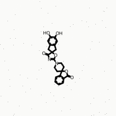 O=C1OC2(CCN(C3=NC(=O)C4(Cc5cc(O)c(O)cc5C4)O3)CC2)c2ccccc21